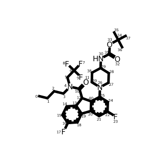 CCCCN(CC(F)(F)F)C(=O)C1c2ccc(F)cc2-c2cc(F)cc(N3CCC(NC(=O)OC(C)(C)C)CC3)c21